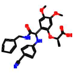 COc1cc(O[C@H](C)C(=O)O)c(C(Nc2ccc(C#N)cc2)C(=O)NCc2ccccc2)cc1OC